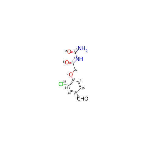 NC(=O)NC(=O)COc1ccc(C=O)cc1Cl